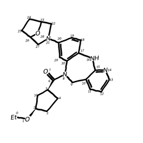 CCO[C@@H]1CC[C@H](C(=O)N2Cc3cccnc3Nc3ccc(N4CC5CCC(C4)O5)cc32)C1